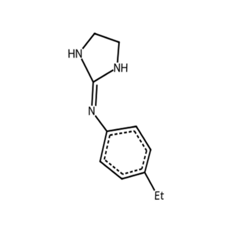 CCc1ccc(N=C2NCCN2)cc1